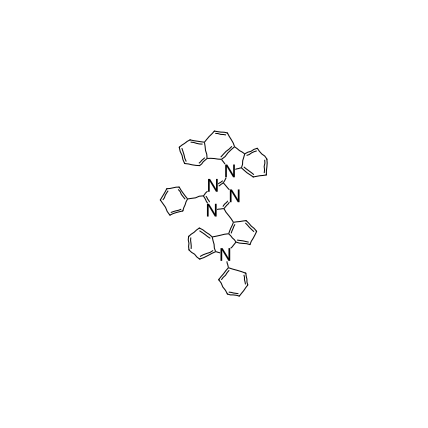 c1ccc(-c2nc(-c3cccc4c3c3ccccc3n4-c3ccccc3)nc(-n3c4ccccc4c4ccc5ccccc5c43)n2)cc1